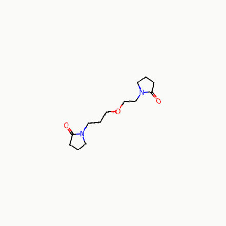 O=C1CCCN1CCCOCCN1CCCC1=O